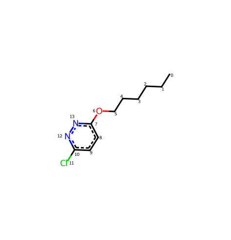 CCCCCCOc1ccc(Cl)nn1